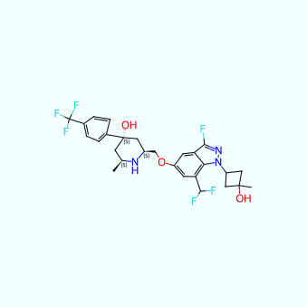 C[C@H]1C[C@@](O)(c2ccc(C(F)(F)F)cc2)C[C@@H](COc2cc(C(F)F)c3c(c2)c(F)nn3C2CC(C)(O)C2)N1